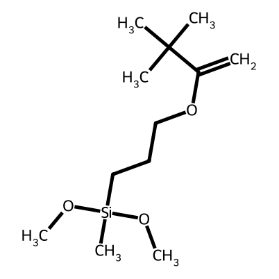 C=C(OCCC[Si](C)(OC)OC)C(C)(C)C